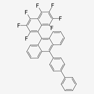 Fc1c(F)c(F)c2c(-c3c4ccccc4c(-c4ccc(-c5ccccc5)cc4)c4ccccc34)c(F)c(F)c(F)c2c1F